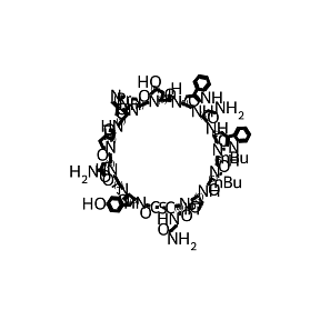 CCCC[C@H]1C(=O)N(C)[C@@H](CCCC)C(=O)N[C@@H](CC(C)C)C(=O)N[C@H](C(=O)NCC(N)=O)CSCC(=O)N[C@@H](Cc2ccc(O)cc2)C(=O)N(C)[C@@H](C)C(=O)N[C@@H](CC(N)=O)C(=O)N2CCC[C@H]2C(=O)N[C@@H](Cc2cnc[nH]2)C(=O)N[C@@H](CC(C)C)C(=O)N2C[C@H](O)C[C@H]2C(=O)N[C@@H](Cc2c[nH]c3ccccc23)C(=O)N[C@@H](CCN)C(=O)N[C@@H](Cc2c[nH]c3ccccc23)C(=O)N1C